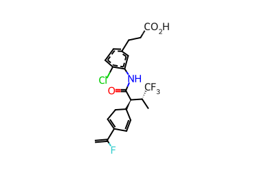 C=C(F)C1=CCC([C@@H](C(=O)Nc2cc(CCC(=O)O)ccc2Cl)[C@@H](C)C(F)(F)F)C=C1